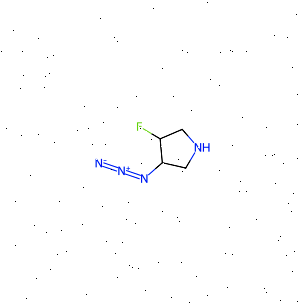 [N-]=[N+]=NC1CNCC1F